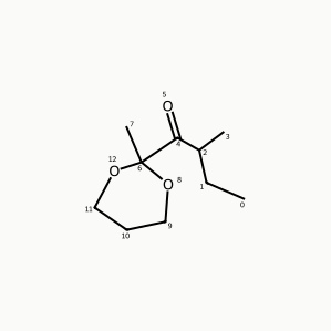 CCC(C)C(=O)C1(C)OCCCO1